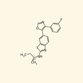 CC[C@H](C)Nc1nc2ccc(-c3ocnc3-c3cccc(F)c3)cc2s1